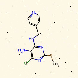 CSc1nc(Cl)c(N)c(NCc2ccncc2)n1